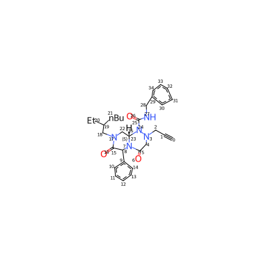 C#CCN1CC(=O)N2C(c3ccccc3)C(=O)N(CC(CC)CCCC)C[C@@H]2N1C(=O)NCc1ccccc1